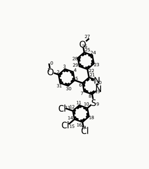 COc1ccc(-c2cc(Sc3cc(Cl)c(Cl)c(Cl)c3)nnc2-c2ccc(OC)cc2)cc1